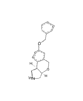 c1ccc(COc2ccc3c(c2)CO[C@H]2CNC[C@@H]32)cc1